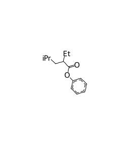 CCC(CC(C)C)C(=O)Oc1ccccc1